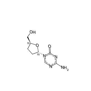 Nc1ncn([C@@H]2CC[C@@H](CO)O2)c(=O)n1